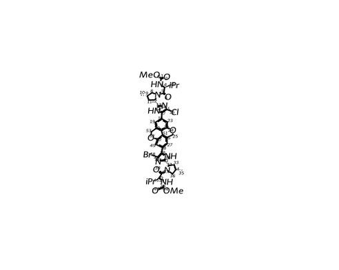 COC(=O)N[C@H](C(=O)N1C[C@@H](C)C[C@H]1c1nc(Cl)c(-c2cc3c4c(c2)OCc2cc(-c5[nH]c([C@@H]6C[C@H](C)CN6C(=O)[C@@H](NC(=O)OC)C(C)C)nc5Br)cc(c2-4)OC3)[nH]1)C(C)C